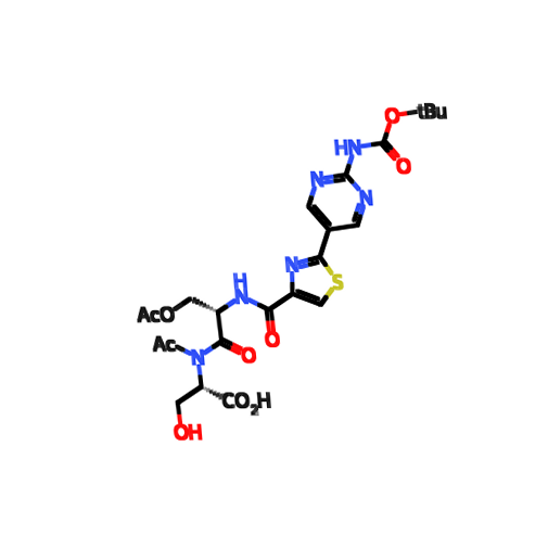 CC(=O)OC[C@H](NC(=O)c1csc(-c2cnc(NC(=O)OC(C)(C)C)nc2)n1)C(=O)N(C(C)=O)[C@@H](CO)C(=O)O